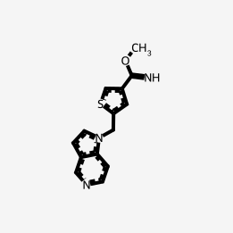 COC(=N)c1csc(Cn2ccc3cnccc32)c1